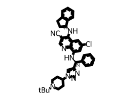 CC(C)(C)N1CCC(n2cc([C@@H](Nc3cc(Cl)cc4c(N[C@@H]5CCc6ccccc65)c(C#N)cnc34)c3ccccc3)nn2)CC1